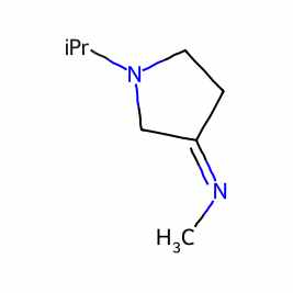 C/N=C1/CCN(C(C)C)C1